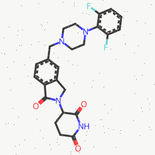 O=C1CCC(N2Cc3cc(CN4CCN(c5c(F)cccc5F)CC4)ccc3C2=O)C(=O)N1